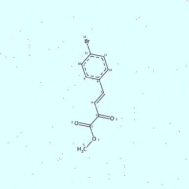 COC(=O)C(=O)/C=C/c1ccc(Br)cc1